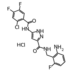 Cl.Nc1cccc(F)c1CNC(=O)c1cc(NC(=O)c2cc(F)c(F)cc2Cl)[nH]n1